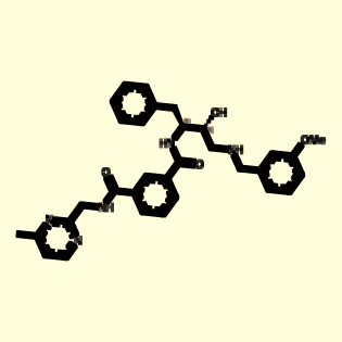 COc1cccc(CNC[C@@H](O)[C@H](Cc2ccccc2)NC(=O)c2cccc(C(=O)NCc3nccc(C)n3)c2)c1